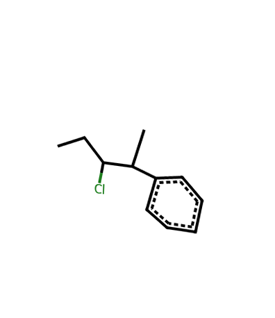 CCC(Cl)C(C)c1ccccc1